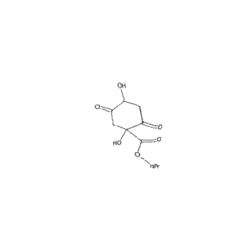 CCCOC(=O)C1(O)CC(=O)C(O)CC1=O